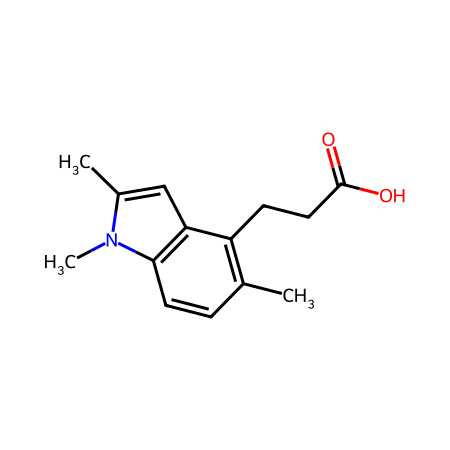 Cc1ccc2c(cc(C)n2C)c1CCC(=O)O